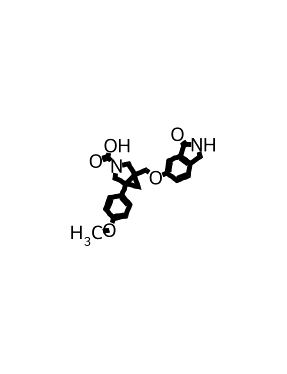 COc1ccc(C23CN(C(=O)O)CC2(COc2ccc4c(c2)C(=O)NC4)C3)cc1